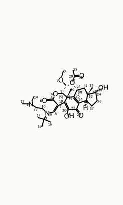 COC[C@H]1OC(=O)C(=CN(CCN(C)C)C(C)(C)C)C2=C(O)C(=O)C3=C([C@H](OC(C)=O)C[C@]4(C)[C@@H](O)CC[C@@H]34)[C@]21C